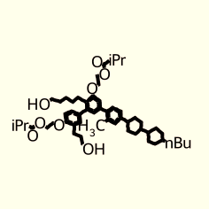 CCCCC1CCC(C2CCC(c3ccc(-c4cc(OCCOC(=O)C(C)C)c(CCCCCO)c(-c5ccc(OCCOC(=O)C(C)C)c(CCCO)c5)c4)c(C)c3)CC2)CC1